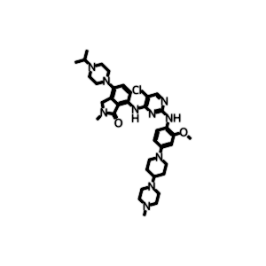 COc1cc(N2CCC(N3CCN(C)CC3)CC2)ccc1Nc1ncc(Cl)c(Nc2ccc(N3CCN(C(C)C)CC3)c3c2C(=O)N(C)C3)n1